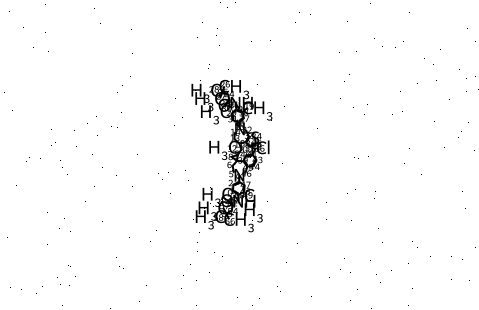 Cc1cc(N2CCC3(CC3CC3(C)CCN(c4cc(C)c(NC(=O)CC(C)(C)C)c(C)c4)Cc4sc(Cl)cc43)c3cc(F)ccc3C2)cc(C)c1NC(=O)CC(C)(C)C